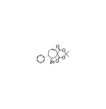 CC(C)C1CC2(C=CC[C@H]1c1ccccc1)C(=O)OC(C)(C)OC2=O